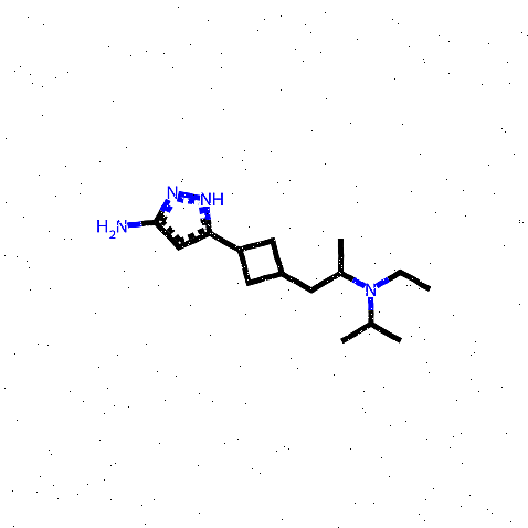 CCN(C(C)C)C(C)CC1CC(c2cc(N)n[nH]2)C1